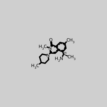 Cc1cc([C@@H](C)N)c2cc(N3CCC(C)CC3)n(C)c(=O)c2c1